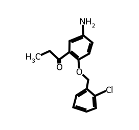 CCC(=O)c1cc(N)ccc1OCc1ccccc1Cl